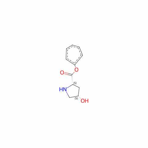 O=C(Oc1ccccc1)[C@@H]1C[C@H](O)CN1